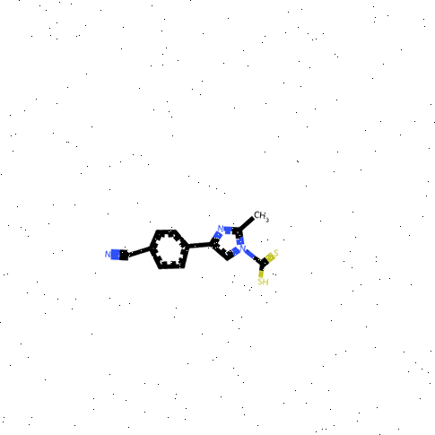 Cc1nc(-c2ccc(C#N)cc2)cn1C(=S)S